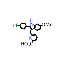 COc1ccc2c(Cc3cccc(C(=O)O)n3)c(-c3ccc(Cl)cc3)[nH]c2c1